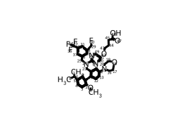 COc1ccc(C(C)C)cc1-c1ccc(N2CCOCC2)cc1CN(Cc1cc(CF)cc(C(F)(F)F)c1)c1ncc(OCCCC(=O)O)cn1